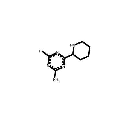 Nc1nc(Cl)nc(C2CCCCN2)n1